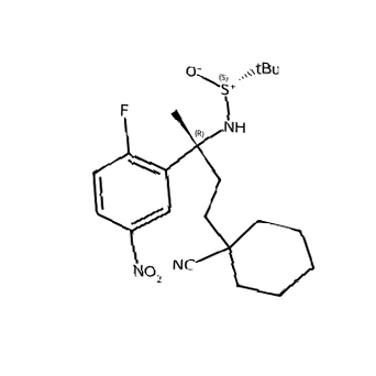 CC(C)(C)[S@@+]([O-])N[C@](C)(CCC1(C#N)CCCCC1)c1cc([N+](=O)[O-])ccc1F